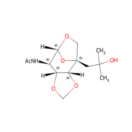 CC(=O)N[C@H]1[C@@H]2OC[C@@](CC(C)(C)O)(O2)[C@@H]2OCO[C@H]12